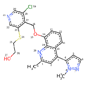 Cc1cc(-c2ccnn2C)c2cccc(OCc3c(Cl)cncc3SCCO)c2n1